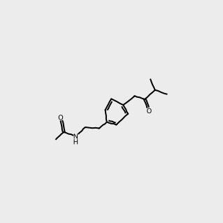 CC(=O)NCCc1ccc(CC(=O)C(C)C)cc1